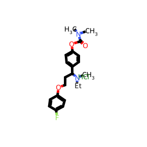 CCN(C)C(CCOc1ccc(F)cc1)c1ccc(OC(=O)N(C)C)cc1.Cl